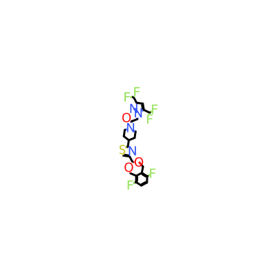 O=C(Cn1nc(C(F)F)cc1C(F)F)N1CCC(c2nc(C3OCc4c(F)ccc(F)c4CO3)cs2)CC1